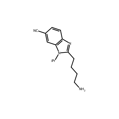 CC(C)n1c(CCCCN)nc2ccc(C#N)cc21